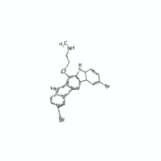 CNCCOc1c2c(cc3c1[nH]c1ccc(Br)cc13)C1C=C(Br)C=CC1N2